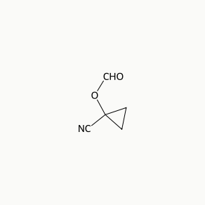 N#CC1(OC=O)CC1